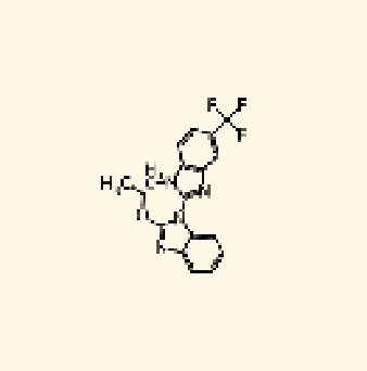 CCOc1nc2ccccc2n1-c1nc2cc(C(F)(F)F)ccc2n1C